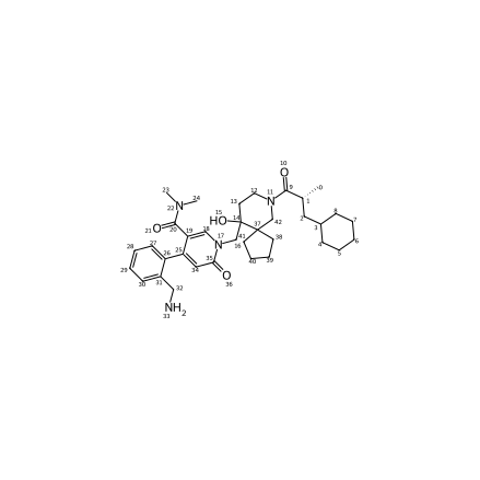 C[C@H](CC1CCCCC1)C(=O)N1CCC(O)(Cn2cc(C(=O)N(C)C)c(-c3ccccc3CN)cc2=O)C2(CCCC2)C1